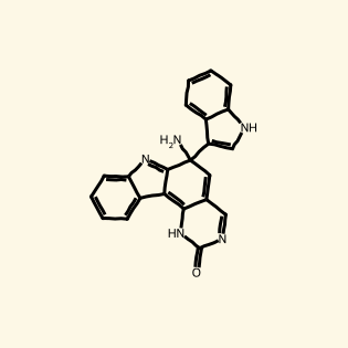 NC1(c2c[nH]c3ccccc23)C=c2cnc(=O)[nH]c2=C2C1=Nc1ccccc12